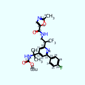 Cc1ncc(C(=O)NCC(c2cc(C(C)(C)NC(=O)OC(C)(C)C)cc(-c3ccc(F)cc3)n2)C(F)(F)F)o1